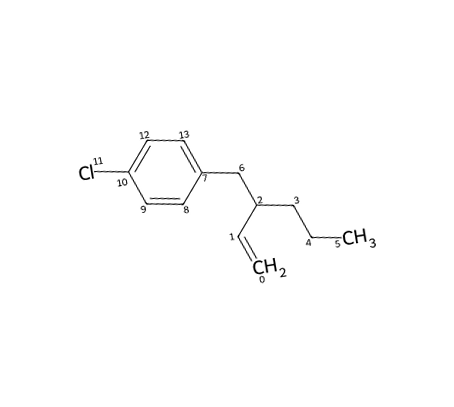 C=CC(CCC)Cc1ccc(Cl)cc1